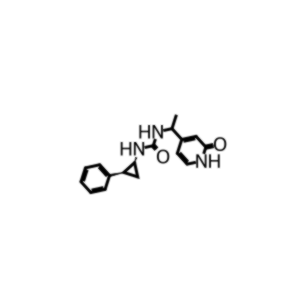 CC(NC(=O)N[C@@H]1C[C@H]1c1ccccc1)c1cc[nH]c(=O)c1